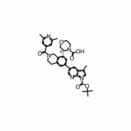 Cc1cc(C(=O)N2CCc3cc(-c4cnc5c(c4)c(C)cn5C(=O)OC(C)(C)C)cc([C@@H]4COCCN4C(=O)O)c3C2)cc(C)n1